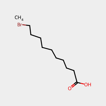 C.O=C(O)CCCCCCCCCBr